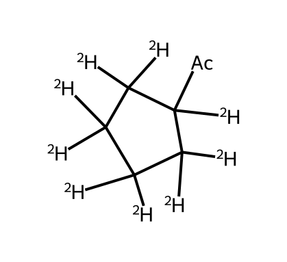 [2H]C1([2H])C([2H])([2H])C([2H])([2H])C([2H])(C(C)=O)C1([2H])[2H]